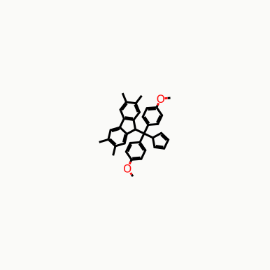 COc1ccc(C(c2ccc(OC)cc2)(C2C=CC=C2)C2c3cc(C)c(C)cc3-c3cc(C)c(C)cc32)cc1